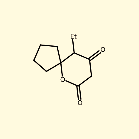 CCC1C(=O)CC(=O)OC12CCCC2